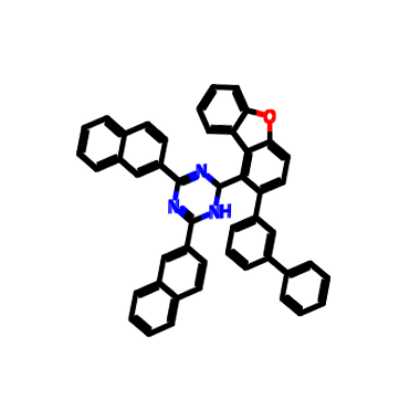 c1ccc(-c2cccc(-c3ccc4oc5ccccc5c4c3C3N=C(c4ccc5ccccc5c4)N=C(c4ccc5ccccc5c4)N3)c2)cc1